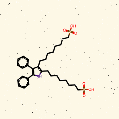 O=S(=O)(O)CCCCCCCCC1=C(CCCCCCCCS(=O)(=O)O)C(c2ccccc2)=C(c2ccccc2)[IH]1